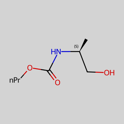 CCCOC(=O)N[C@@H](C)CO